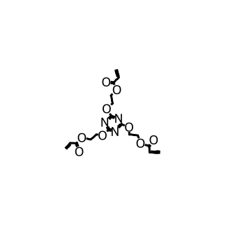 C=CC(=O)OCCOc1nc(OCCOC(=O)C=C)nc(OCCOC(=O)C=C)n1